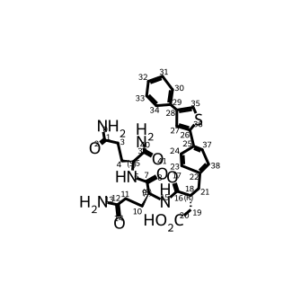 NC(=O)CC[C@H](NC(=O)[C@H](CCC(N)=O)NC(=O)[C@@H](CC(=O)O)Cc1ccc(-c2cc(-c3ccccc3)cs2)cc1)C(N)=O